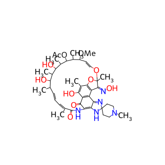 COC1/C=C/OC2(C)Oc3c(C)c(O)c4c(c3/C2=N/O)C2=NC3(CCN(C)CC3)NC2=C(NC(=O)/C(C)=C\C=C\C(C)C(O)C(C)C(O)C(C)C(OC(C)=O)C1C)C4=O